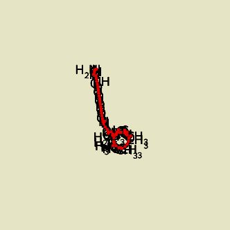 CO[C@H]1C[C@@H]2CC[C@@H](C)[C@@](O)(O2)C(=O)C(=O)N2CCCC[C@H]2C(=O)O[C@H]([C@H](N)C[C@@H]2CC[C@@H](OCCCCc3cn(CCOCCOCCOCCOCCOCCOCCOCCOCCC(=O)NCCCCn4nc(I)c5c(N)ncnc54)nn3)[C@H](OC)C2)CC(=O)[C@H](C)/C=C(\C)[C@@H](O)[C@@H](O)C(=O)[C@H](C)C[C@H](C)/C=C/C=C/C=C/1C